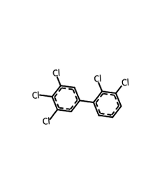 Clc1cc(-c2cccc(Cl)c2Cl)cc(Cl)c1Cl